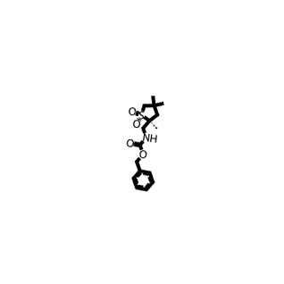 CC1(C)C[C@@](C)(CNC(=O)OCc2ccccc2)S(=O)(=O)C1